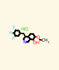 CCOc1ccc2c(Cc3cc(F)c(F)c(F)c3)cncc2c1O.Cl